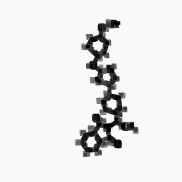 CC(C)Oc1ccc(Oc2ncc(-c3ccc(C(C)N4C(=O)c5ccccc5C4=O)cc3)s2)cc1